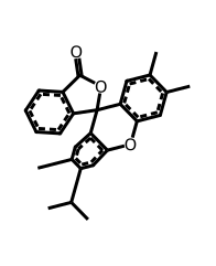 Cc1cc2c(cc1C)C1(OC(=O)c3ccccc31)c1cc(C)c(C(C)C)cc1O2